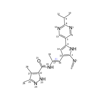 C=Nc1[nH]c(-c2cnc(C(C)C)nc2)cc1/C=C(\C)NC(=O)c1[nH]nc(C)c1C